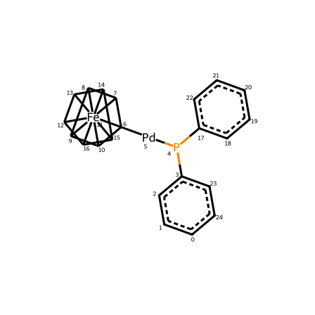 c1ccc([P]([Pd][C]23[CH]4[CH]5[CH]6[CH]2[Fe]56432789[CH]3[CH]2[CH]7[CH]8[CH]39)c2ccccc2)cc1